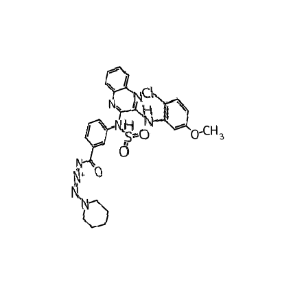 COc1ccc(Cl)c(Nc2nc3ccccc3nc2N(c2cccc(C(=O)N=[N+]=NN3CCCCC3)c2)[SH](=O)=O)c1